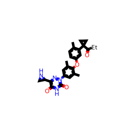 CCC(=O)C1(c2cc(Oc3c(C)cc(-n4nc(C5CN5)c(=O)[nH]c4=O)cc3C)ccc2C)CC1